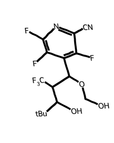 CC(C)(C)C(O)C(C(OCO)c1c(F)c(F)nc(C#N)c1F)C(F)(F)F